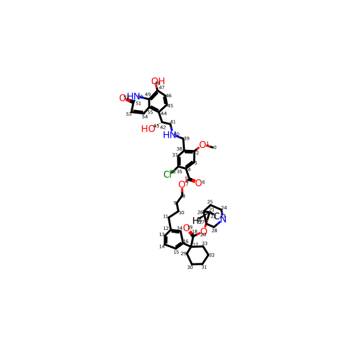 COc1cc(C(=O)OCCCCc2cccc(C3(C(=O)O[C@H]4CN5CCC4CC5)CCCCC3)c2)c(Cl)cc1CNC[C@H](O)c1ccc(O)c2[nH]c(=O)ccc12